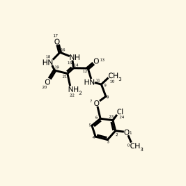 COc1cccc(OCC(C)NC(=O)c2[nH]c(=O)[nH]c(=O)c2N)c1Cl